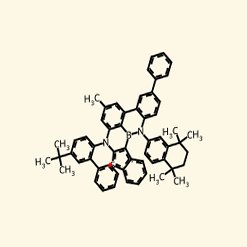 Cc1cc2c3c(c1)N(c1ccc(C(C)(C)C)cc1-c1ccccc1)c1sc4ccccc4c1B3N(c1ccc3c(c1)C(C)(C)CCC3(C)C)c1ccc(-c3ccccc3)cc1-2